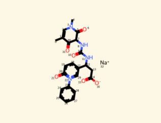 CC1=CN(C)C(=O)C(NC(=O)NC(CC(=O)[O-])c2ccc(=O)n(-c3ccccc3)c2)C1=O.[Na+]